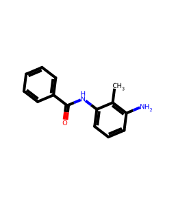 Cc1c(N)cccc1NC(=O)c1ccccc1